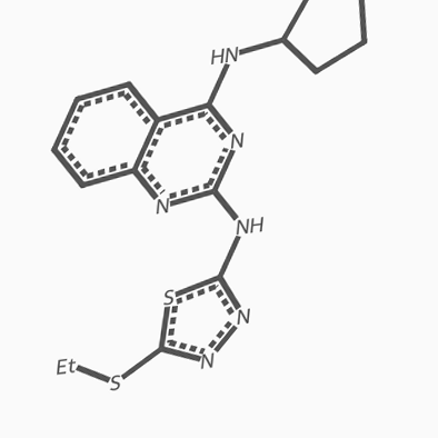 CCSc1nnc(Nc2nc(NC3CCCC3)c3ccccc3n2)s1